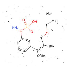 COC(=C(COCC(C)(C)C)C(C)(C)C)c1cccc(OP(=O)([O-])O)c1.N.[Na+]